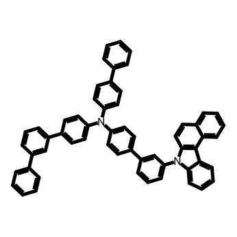 c1ccc(-c2ccc(N(c3ccc(-c4cccc(-c5ccccc5)c4)cc3)c3ccc(-c4cccc(-n5c6ccccc6c6c7ccccc7ccc65)c4)cc3)cc2)cc1